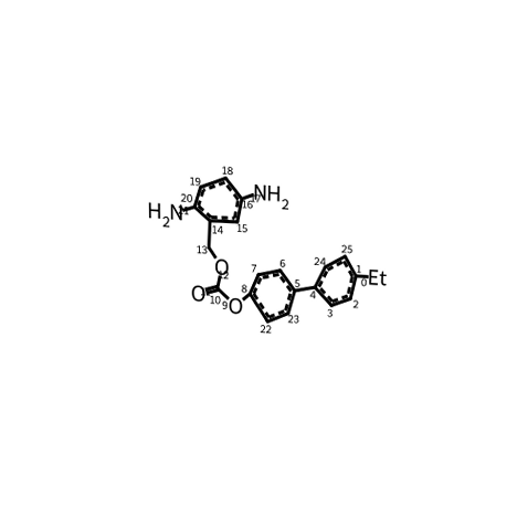 CCc1ccc(-c2ccc(OC(=O)OCc3cc(N)ccc3N)cc2)cc1